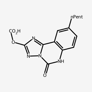 CCCCCc1ccc2[nH]c(=O)n3nc(OC(=O)O)nc3c2c1